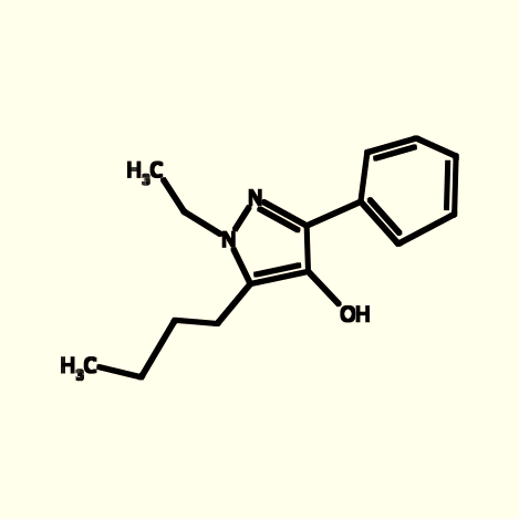 CCCCc1c(O)c(-c2ccccc2)nn1CC